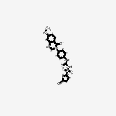 COc1ccc2c(=O)n(-c3ccc(NC(=O)NS(=O)(=O)c4ccc(Cl)s4)cc3)cnc2c1